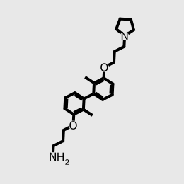 Cc1c(OCCCN)cccc1-c1cccc(OCCCN2CCCC2)c1C